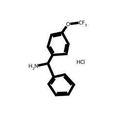 Cl.NC(c1ccccc1)c1ccc(OC(F)(F)F)cc1